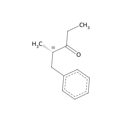 CCC(=O)[C@@H](C)Cc1ccccc1